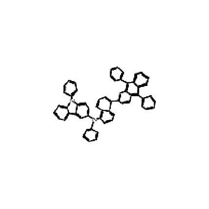 c1ccc(-c2c3ccccc3c(-c3ccccc3)c3cc(-c4cccc5c(N(c6ccccc6)c6ccc7c(c6)c6ccccc6n7-c6ccccc6)cccc45)ccc23)cc1